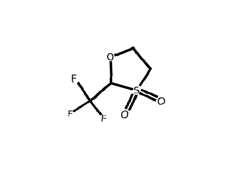 O=S1(=O)CCOC1C(F)(F)F